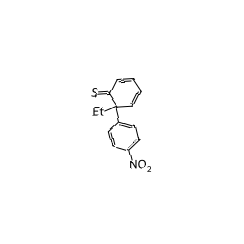 CCC1(c2ccc([N+](=O)[O-])cc2)C=CC=CC1=S